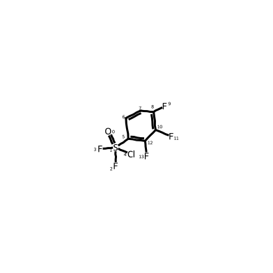 O=S(F)(F)(Cl)c1ccc(F)c(F)c1F